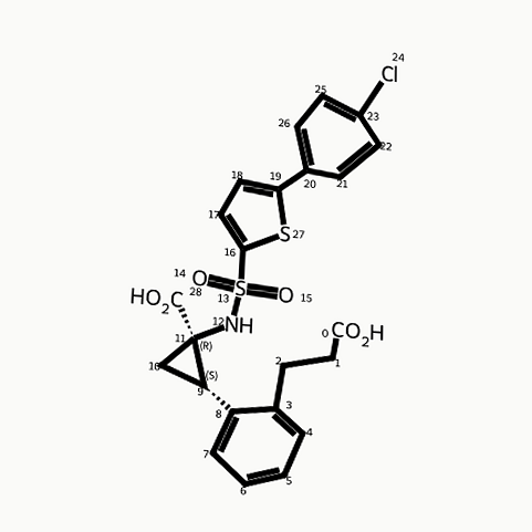 O=C(O)CCc1ccccc1[C@@H]1C[C@]1(NS(=O)(=O)c1ccc(-c2ccc(Cl)cc2)s1)C(=O)O